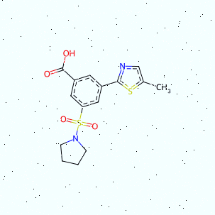 Cc1cnc(-c2cc(C(=O)O)cc(S(=O)(=O)N3CCCC3)c2)s1